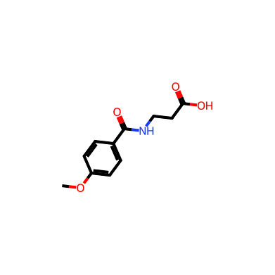 COc1ccc(C(=O)NCCC(=O)O)cc1